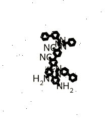 CC(C)c1nc2ccc(C3C=CC=CC3)cc2n1-c1cc(N)ccc1-c1cc(-c2ccc(-c3ccc(-c4nc(-c5ccccc5)nc(-c5cccc(-c6ccccc6)c5)n4)c(C#N)c3)c(C#N)c2)ccc1N